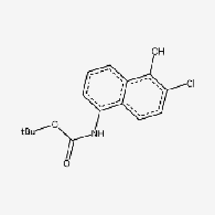 CC(C)(C)OC(=O)Nc1cccc2c(O)c(Cl)ccc12